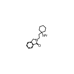 CCCC1(CCN2Cc3ccccc3C2=O)CCCCC1